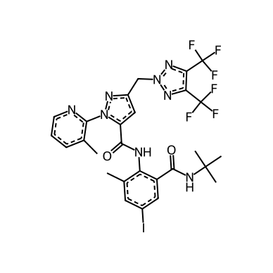 Cc1cccnc1-n1nc(Cn2nc(C(F)(F)F)c(C(F)(F)F)n2)cc1C(=O)Nc1c(C)cc(I)cc1C(=O)NC(C)(C)C